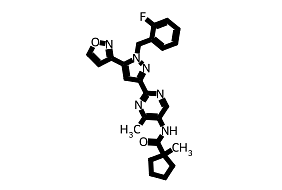 Cc1nc(-c2cc(-c3ccon3)n(Cc3ccccc3F)n2)ncc1NC(=O)C1(C)CCCC1